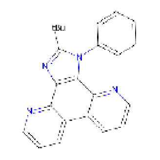 CC(C)(C)c1nc2c3ncccc3c3cccnc3c2n1-c1ccccc1